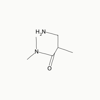 CC(CN)C(=O)N(C)C